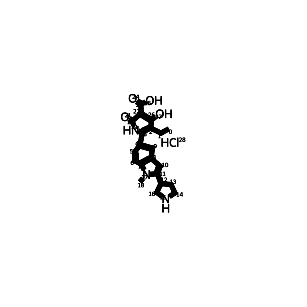 CCc1c(-c2ccc3c(c2)cc(C2CCNC2)n3C)[nH]c(=O)c(C(=O)O)c1O.Cl